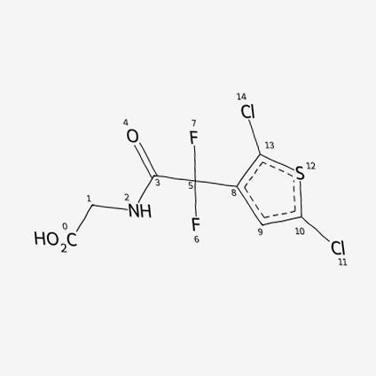 O=C(O)CNC(=O)C(F)(F)c1cc(Cl)sc1Cl